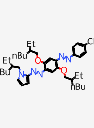 CCCCC(CC)COc1cc(/N=N/c2cccn2CC(CC)CCCC)c(OCC(CC)CCCC)cc1N=Nc1ccc(C#N)cc1